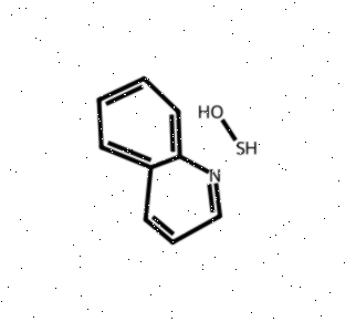 OS.c1ccc2ncccc2c1